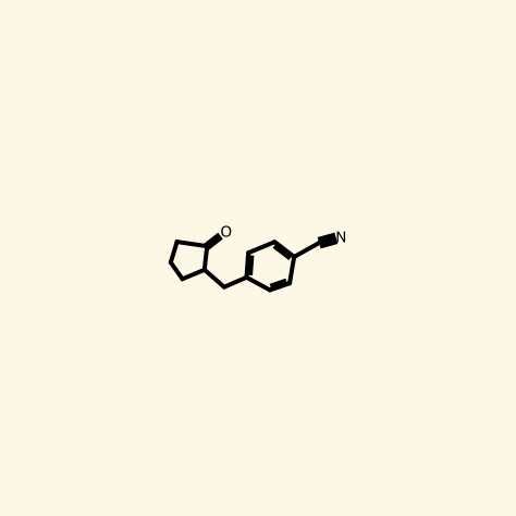 N#Cc1ccc(CC2CCCC2=O)cc1